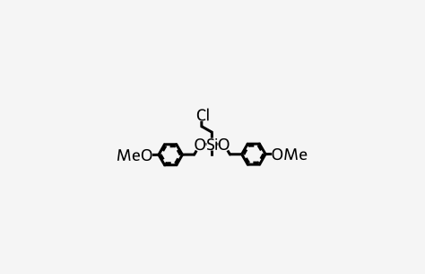 COc1ccc(CO[Si](C)(CCCl)OCc2ccc(OC)cc2)cc1